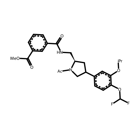 COC(=O)c1cccc(C(=O)NC[C@H]2CC(c3ccc(OC(F)F)c(OC(C)C)c3)CN2C(C)=O)c1